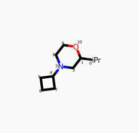 CC(C)C1CN(C2CCC2)CCO1